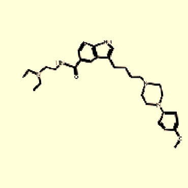 CCN(CC)CCNC(=O)c1ccc2[nH]cc(CCCCN3CCN(c4ccc(OC)cc4)CC3)c2c1